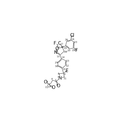 CS(=O)(=O)CC(=O)N1CC(F)(c2ccc(C3=NOC(c4cc(F)cc(Cl)c4)(C(F)(F)F)C3)cc2)C1